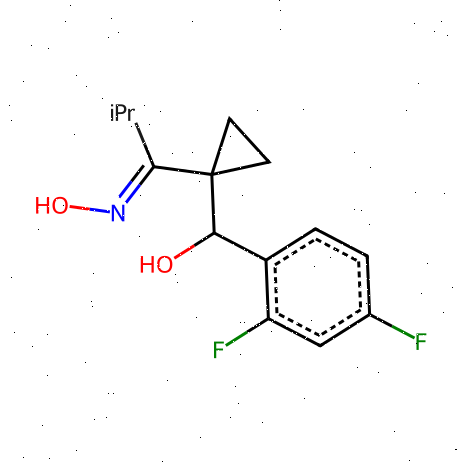 CC(C)C(=NO)C1(C(O)c2ccc(F)cc2F)CC1